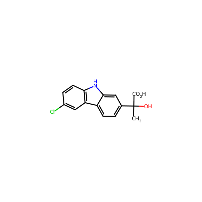 CC(O)(C(=O)O)c1ccc2c(c1)[nH]c1ccc(Cl)cc12